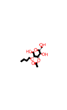 CCCCO[C@@H]1C(O)O[C@H](CO)[C@@H](O)[C@@H]1OC(C)=O